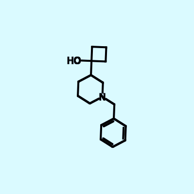 OC1(C2CCCN(Cc3ccccc3)C2)CCC1